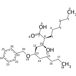 CCCCCC[C@H](C(=O)O)[C@@H](O)C[C@@H](CCCCC)OCc1ccccc1